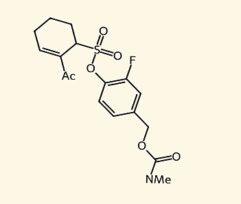 CNC(=O)OCc1ccc(OS(=O)(=O)C2CCCC=C2C(C)=O)c(F)c1